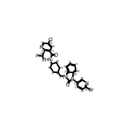 O=C(NC1CCC(Cn2c(=O)n(-c3ccc(Br)nc3)c3ccccc32)CC1)c1cc(Cl)cnc1C(F)F